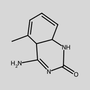 CC1=CC=CC2NC(=O)N=C(N)C12